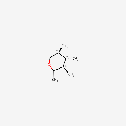 CC1OC[C@@H](C)[C@H](C)[C@H]1C